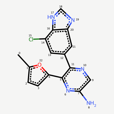 Cc1ccc(-c2nc(N)cnc2-c2cc(Cl)c3[nH]cnc3c2)o1